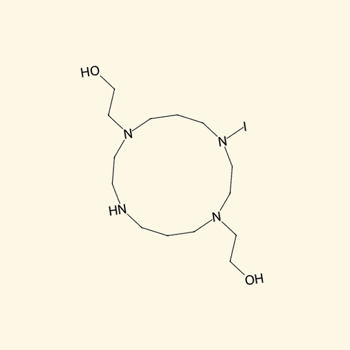 OCCN1CCCN(I)CCN(CCO)CCCNCC1